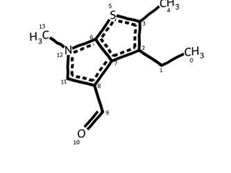 CCc1c(C)sc2c1c(C=O)cn2C